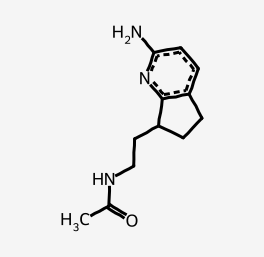 CC(=O)NCCC1CCc2ccc(N)nc21